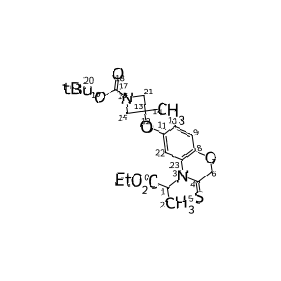 CCOC(=O)C(C)N1C(=S)COc2ccc(OC3(C)CN(C(=O)OC(C)(C)C)C3)cc21